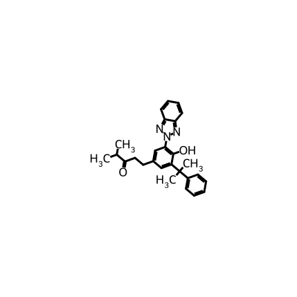 CC(C)C(=O)CCc1cc(-n2nc3ccccc3n2)c(O)c(C(C)(C)c2ccccc2)c1